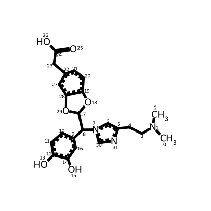 CN(C)CCc1cn(C(c2ccc(O)c(O)c2)C2Oc3ccc(CC(=O)O)cc3O2)cn1